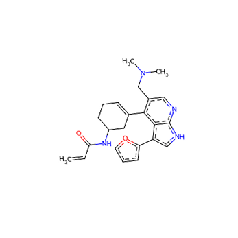 C=CC(=O)NC1CCC=C(c2c(CN(C)C)cnc3[nH]cc(-c4ccco4)c23)C1